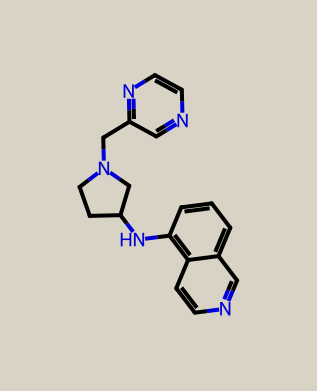 c1cc(NC2CCN(Cc3cnccn3)C2)c2ccncc2c1